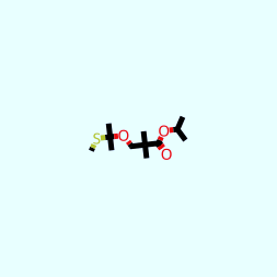 CSC(C)(C)OCC(C)(C)C(=O)OC(C)C